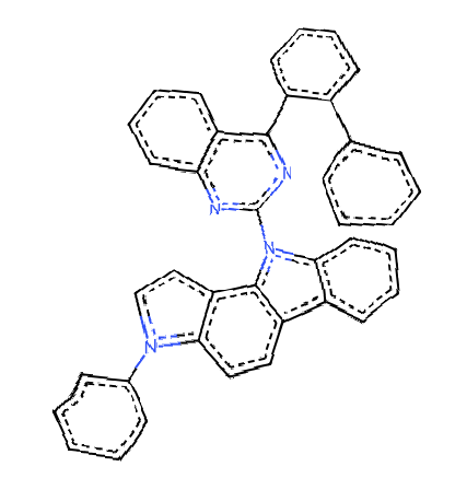 c1ccc(-c2ccccc2-c2nc(-n3c4ccccc4c4ccc5c(ccn5-c5ccccc5)c43)nc3ccccc23)cc1